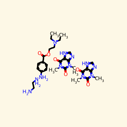 CCN(CC)CCOC(=O)c1ccc(N)cc1.Cn1c(=O)c2[nH]cnc2n(C)c1=O.Cn1c(=O)c2[nH]cnc2n(C)c1=O.NCCN